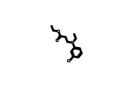 CCOC(=O)CCN(CC)c1cccc(Cl)c1